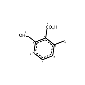 Cc1ccnc(C=O)c1C(=O)O